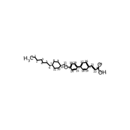 CCCCCCC[C@H]1CC[C@@H](COc2ccc(-c3ccc(C=CC(=O)O)cc3)cc2)CC1